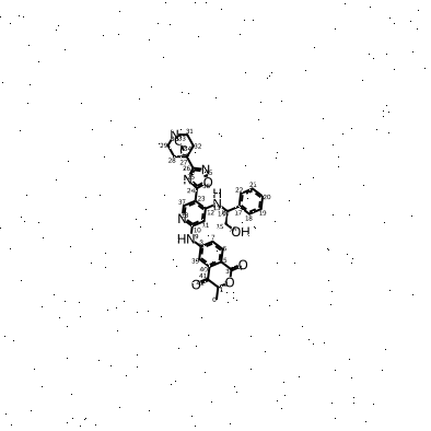 CC1OC(=O)c2ccc(Nc3cc(N[C@H](CO)c4ccccc4)c(-c4nc(C56CCN(CC5)CC6)no4)cn3)cc2C1=O